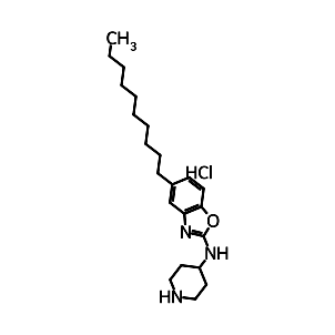 CCCCCCCCCCc1ccc2oc(NC3CCNCC3)nc2c1.Cl